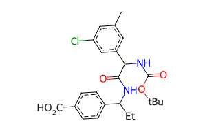 CCC(NC(=O)C(NC(=O)OC(C)(C)C)c1cc(C)cc(Cl)c1)c1ccc(C(=O)O)cc1